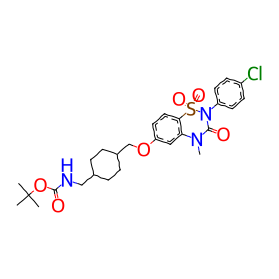 CN1C(=O)N(c2ccc(Cl)cc2)S(=O)(=O)c2ccc(OCC3CCC(CNC(=O)OC(C)(C)C)CC3)cc21